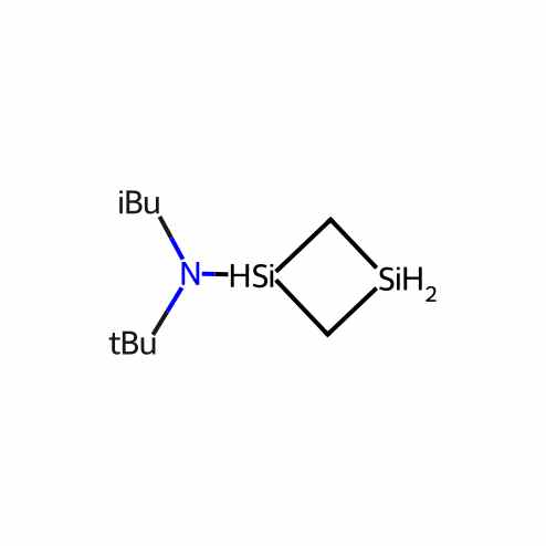 CCC(C)N([SiH]1C[SiH2]C1)C(C)(C)C